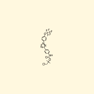 CC(C)(CCl)OC(=O)Nc1ccc(-c2ncn(-c3ccc(OC(F)(F)C(F)(F)F)cc3)n2)cc1